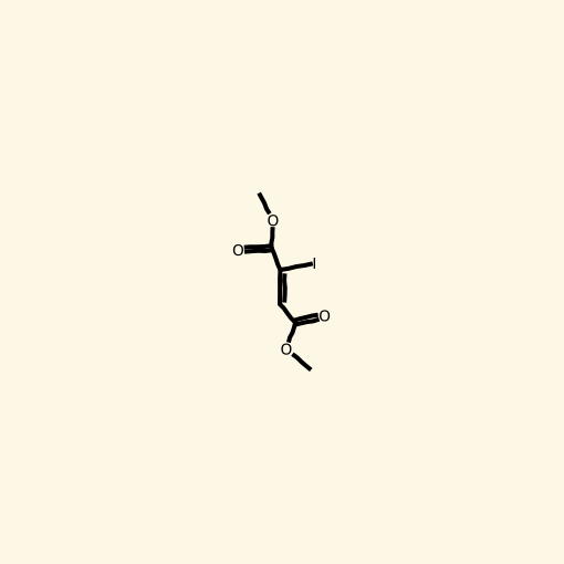 COC(=O)C=C(I)C(=O)OC